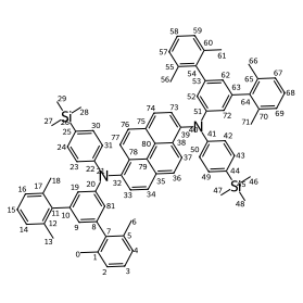 Cc1cccc(C)c1-c1cc(-c2c(C)cccc2C)cc(N(c2ccc([Si](C)(C)C)cc2)c2ccc3ccc4c(N(c5ccc([Si](C)(C)C)cc5)c5cc(-c6c(C)cccc6C)cc(-c6c(C)cccc6C)c5)ccc5ccc2c3c54)c1